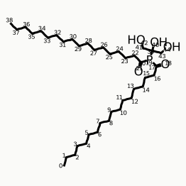 CCCCCCCCCCCCCCCCCC(=O)P(C(=O)CCCCCCCCCCCCCCCCC)C(O)(CO)CO